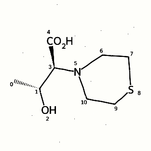 C[C@@H](O)[C@@H](C(=O)O)N1CCSCC1